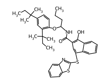 CCCC(NC(=O)c1cc(Sc2nc3ccccc3s2)c2ccccc2c1O)Oc1ccc(C(C)(C)CC)cc1C(C)(C)CC